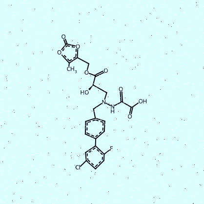 Cc1oc(=O)oc1COC(=O)[C@H](O)CN(Cc1ccc(-c2cc(Cl)ccc2F)cc1)NC(=O)C(=O)O